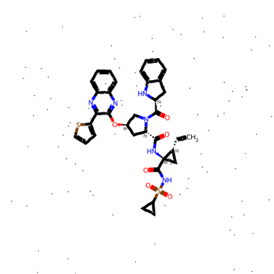 C=C[C@@H]1C[C@]1(NC(=O)[C@@H]1C[C@@H](Oc2nc3ccccc3nc2-c2cccs2)CN1C(=O)[C@@H]1Cc2ccccc2N1)C(=O)NS(=O)(=O)C1CC1